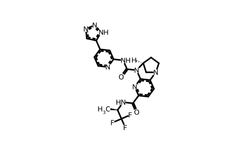 C[C@@H](NC(=O)c1ccc2c(n1)N(C(=O)Nc1cc(-c3cnn[nH]3)ccn1)[C@H]1CCN2C1)C(F)(F)F